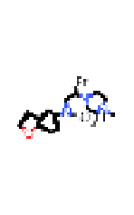 CC(C)C(CN(c1ccc2occc2c1)S(=O)(=O)O)N1CCN(C)CC1